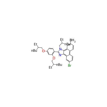 Bc1ccc2c3ccc(Br)cc3c3nc(-c4ccc(OCC(CC)CCCC)cc4OCC(CC)CCCC)n(CC(CC)CCCC)c3c2c1